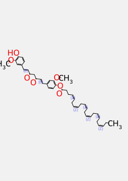 CC/C=C\C/C=C\C/C=C\C/C=C\C/C=C\C/C=C\CCC(=O)Oc1ccc(/C=C/C(=O)CC(=O)/C=C/c2ccc(O)c(OC)c2)cc1OC